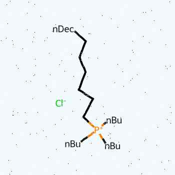 CCCCCCCCCCCCCCCC[P+](CCCC)(CCCC)CCCC.[Cl-]